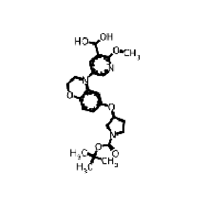 COc1ncc(N2CCOc3ccc(OC4CCN(C(=O)OC(C)(C)C)C4)cc32)cc1C(O)O